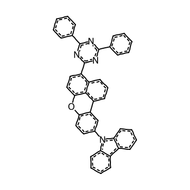 c1ccc(-c2nc(-c3ccccc3)nc(-c3ccc4c5c(cccc35)-c3cc(-n5c6ccccc6c6ccccc65)ccc3O4)n2)cc1